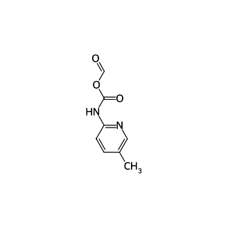 Cc1ccc(NC(=O)OC=O)nc1